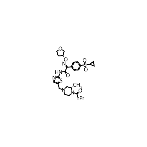 CCCC(=O)N1CCN(Cc2cnc(NC(=O)/C(=N/O[C@@H]3CCOC3)c3ccc(S(=O)(=O)C4CC4)cc3)s2)C[C@@H]1C